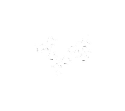 Cc1cc(C)c(B(c2cccc(-c3ccc(C45CC6CC(C4)CC(c4ccc(-n7c8ccccc8c8ccccc87)cc4)(C6)C5)cc3)c2)c2c(C)cc(C)cc2C)c(C)c1